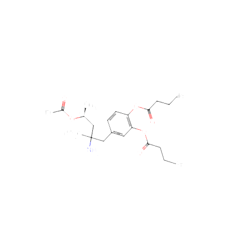 CCC(=O)O[C@@H](C)CC(N)(Cc1ccc(OC(=O)CCC(C)C)c(OC(=O)CCC(C)C)c1)C(=O)O